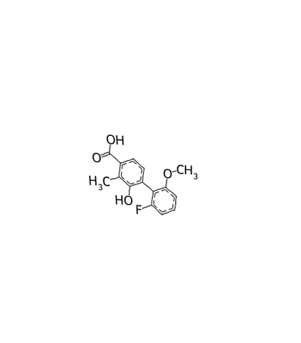 COc1cccc(F)c1-c1ccc(C(=O)O)c(C)c1O